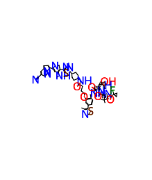 CNc1cc(-c2ccc3cc(C#N)cnn23)ncc1-c1nnc(C2CCC(NC(=O)CCCOc3cc(-c4scnc4C)ccc3CNC(=O)[C@@H]3C[C@@H](O)CN3C(=O)[C@@H](NC(=O)C3(F)CC3)C(C)(C)C)CC2)s1